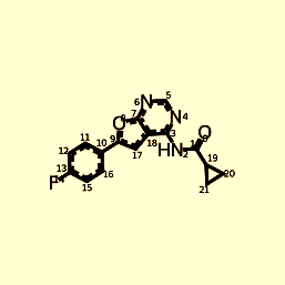 O=C(Nc1ncnc2oc(-c3ccc(F)cc3)cc12)C1CC1